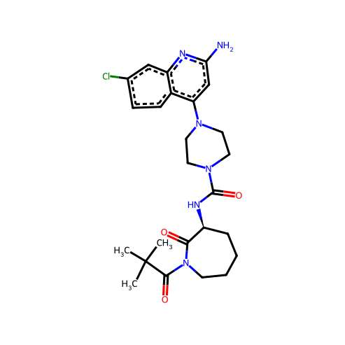 CC(C)(C)C(=O)N1CCCC[C@H](NC(=O)N2CCN(c3cc(N)nc4cc(Cl)ccc34)CC2)C1=O